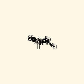 CCOCCNC(=O)c1cc2nc(Nc3nc4ccc(OC(F)(F)F)cc4s3)n(C)c2cc1F